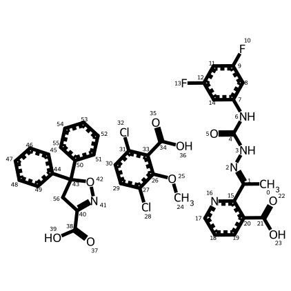 C/C(=N\NC(=O)Nc1cc(F)cc(F)c1)c1ncccc1C(=O)O.COc1c(Cl)ccc(Cl)c1C(=O)O.O=C(O)C1=NOC(c2ccccc2)(c2ccccc2)C1